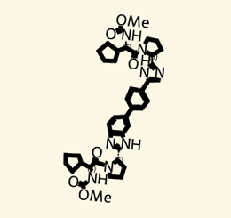 COC(=O)N[C@H](C(=O)N1CCC[C@H]1c1ncc(-c2ccc(-c3ccc4nc([C@@H]5CCCN5C(=O)[C@@H](NC(=O)OC)C5CCCC5)[nH]c4c3)cc2)[nH]1)C1CCCC1